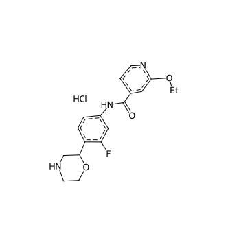 CCOc1cc(C(=O)Nc2ccc(C3CNCCO3)c(F)c2)ccn1.Cl